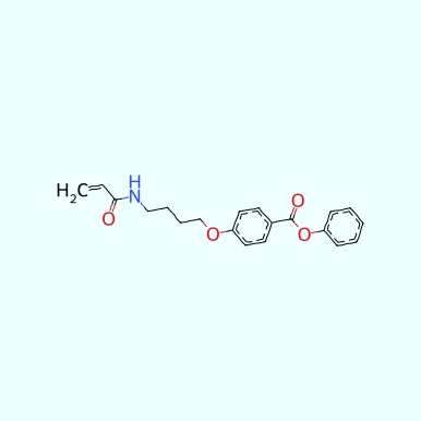 C=CC(=O)NCCCCOc1ccc(C(=O)Oc2ccccc2)cc1